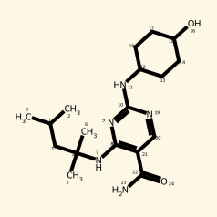 CC(C)CC(C)(C)Nc1nc(NC2CCC(O)CC2)ncc1C(N)=O